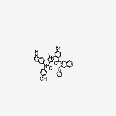 Cc1cc(C(=O)N(c2ccc(O)cc2)c2ccc3[nH]ccc3c2)cn1-c1cc(Br)ccc1C(=O)N1Cc2ccccc2C[C@H]1CN1CCCC1